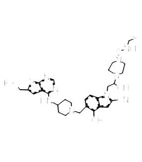 Cc1c(CN2CCC(Nc3ncnc4sc(CC(F)(F)F)cc34)CC2)ccc2c1cc(C#N)n2CC(C)N1CCN(SNCF)CC1